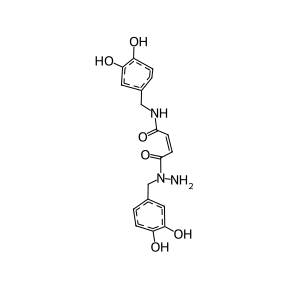 NN(Cc1ccc(O)c(O)c1)C(=O)/C=C\C(=O)NCc1ccc(O)c(O)c1